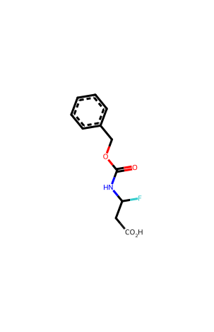 O=C(O)CC(F)NC(=O)OCc1ccccc1